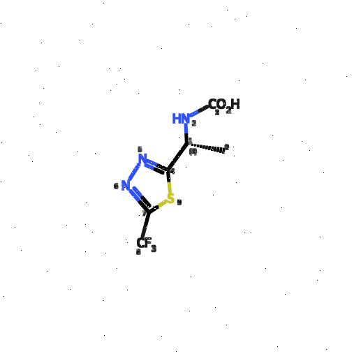 C[C@@H](NC(=O)O)c1nnc(C(F)(F)F)s1